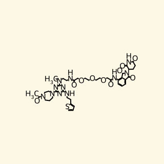 CC(=O)N1CCCN(c2nc(NCCc3cccs3)nc(N(C)CCNC(=O)COCCOCCOCC(=O)Nc3cccc4c3C(=O)N(C3CCC(=O)NC3=O)C4=O)n2)CC1